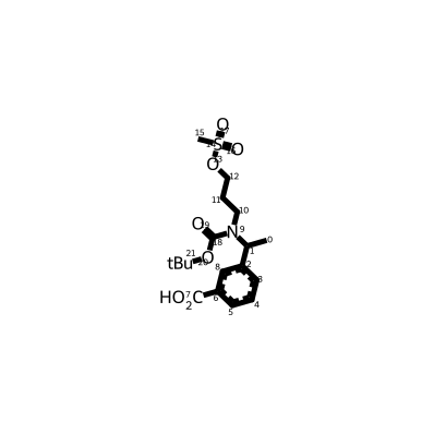 CC(c1cccc(C(=O)O)c1)N(CCCOS(C)(=O)=O)C(=O)OC(C)(C)C